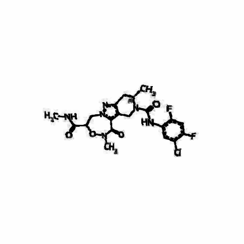 CNC(=O)C1Cn2nc3c(c2C(=O)N(C)O1)CN(C(=O)Nc1cc(Cl)c(F)cc1F)[C@H](C)C3